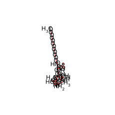 CCCCc1nc2c(N)nc3cc(C(=O)O)ccc3c2n1Cc1ccc(C[N+](C)(C)Cc2ccc(O[C@@H]3O[C@H](C(=O)O)[C@@H](O)[C@H](O)[C@H]3O)c(NC(=O)CCNC(=O)[C@H](CCCCNC(=O)CCOCCOCCOCCOCCOCCOCCOCCOCCOCCOCCOCCOC)NC(=O)OCC3c4ccccc4-c4ccccc43)c2)cc1